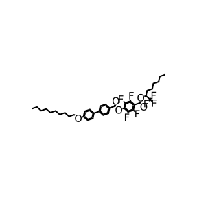 CCCCCCCCCCOc1ccc(-c2ccc(C(=O)Oc3c(F)c(F)c(C(=O)OC(CCCCCC)C(F)(F)F)c(F)c3F)cc2)cc1